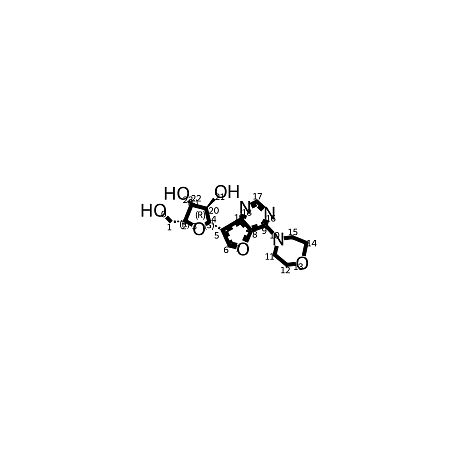 OC[C@H]1O[C@@H](c2coc3c(N4CCOCC4)ncnc23)[C@H](O)[C@@H]1O